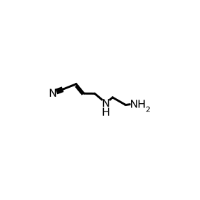 N#CC=CCNCCN